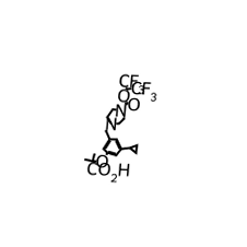 CC(C)(Oc1cc(CN2CCN(C(=O)OC(C(F)(F)F)C(F)(F)F)CC2)cc(C2CC2)c1)C(=O)O